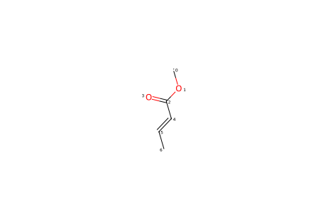 [CH2]OC(=O)C=CC